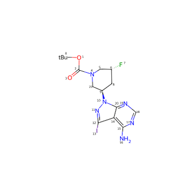 CC(C)(C)OC(=O)N1C[C@H](F)C[C@@H](n2nc(I)c3c(N)ncnc32)C1